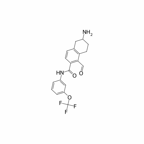 NC1CCc2c(ccc(C(=O)Nc3cccc(OC(F)(F)F)c3)c2C=O)C1